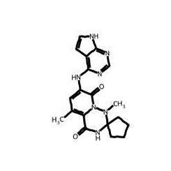 Cc1cc(Nc2ncnc3[nH]ccc23)c(=O)n2c1C(=O)NC1(CCCC1)N2C